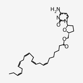 CC/C=C\C/C=C\C/C=C\C/C=C\C/C=C\CCCCCC(=O)OC[C@@H]1CCC(n2ccc(N)nc2=O)O1